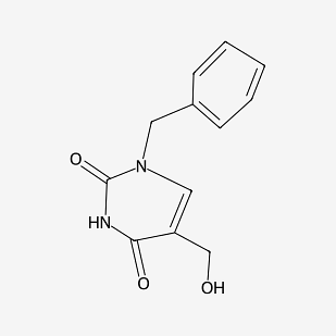 O=c1[nH]c(=O)n(Cc2ccccc2)cc1CO